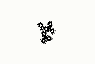 c1ccc(Cn2c3ccc(N(c4ccccc4)c4ccccc4)cc3c3cc(N(c4ccccc4)c4ccccc4)ccc32)cc1